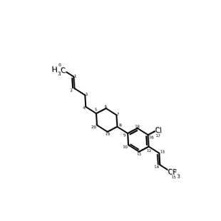 C/C=C/CCC1CCC(c2ccc(/C=C/C(F)(F)F)c(Cl)c2)CC1